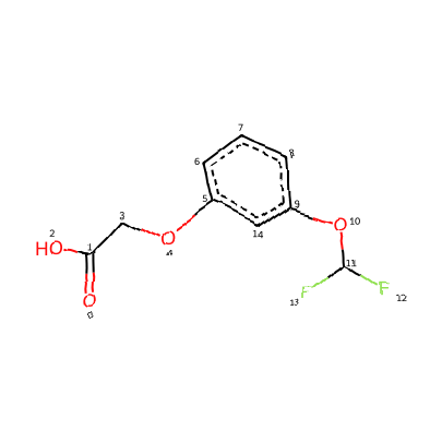 O=C(O)COc1cc[c]c(OC(F)F)c1